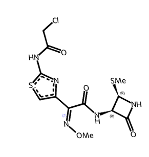 CO/N=C(\C(=O)N[C@@H]1C(=O)N[C@@H]1SC)c1csc(NC(=O)CCl)n1